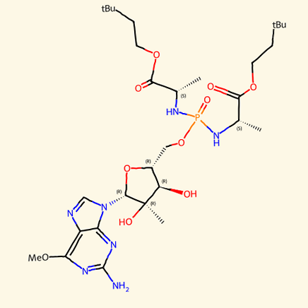 COc1nc(N)nc2c1ncn2[C@@H]1O[C@H](COP(=O)(N[C@@H](C)C(=O)OCCC(C)(C)C)N[C@@H](C)C(=O)OCCC(C)(C)C)[C@@H](O)[C@@]1(C)O